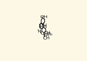 C#C[C@]1(O)CC[C@H]2[C@@H]3CCC4=C(CC[C@H](O)C4)[C@H]3CC[C@@]21C